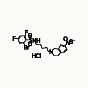 Cl.O=[N+]([O-])c1ccc2c(c1)CN(CCCCCNS(=O)(=O)c1c(F)cc(F)cc1Br)CC2